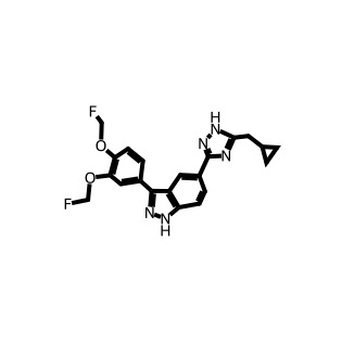 FCOc1ccc(-c2n[nH]c3ccc(-c4n[nH]c(CC5CC5)n4)cc23)cc1OCF